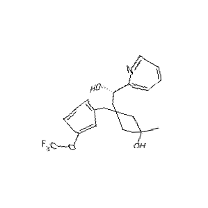 CC1(O)CC(c2cccc(OC(F)(F)F)c2)([C@H](O)c2ccccn2)C1